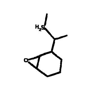 C[SiH2]C(C)C1CCCC2OC21